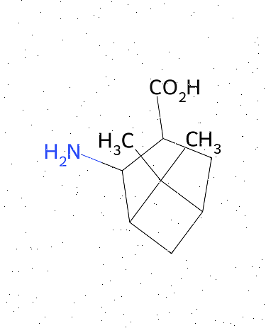 CC1(C)C2CC(C(=O)O)C(N)C1C2